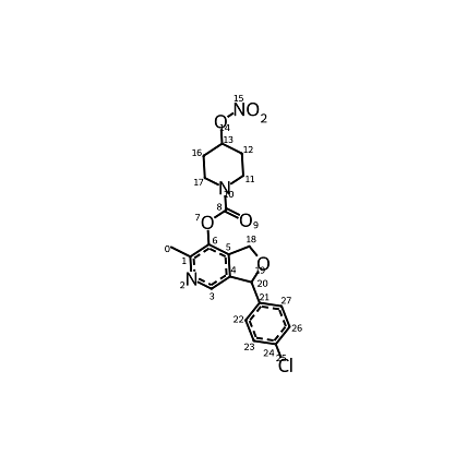 Cc1ncc2c(c1OC(=O)N1CCC(O[N+](=O)[O-])CC1)COC2c1ccc(Cl)cc1